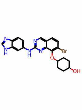 O[C@H]1CC[C@@H](Oc2c(Br)ccc3cnc(Nc4ccc5nc[nH]c5c4)nc23)CC1